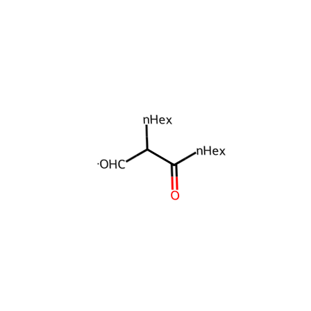 CCCCCCC(=O)C([C]=O)CCCCCC